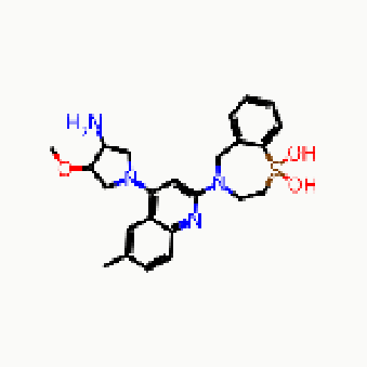 COC1CN(c2cc(N3CCS(O)(O)c4ccccc4C3)nc3ccc(C)cc23)CC1N